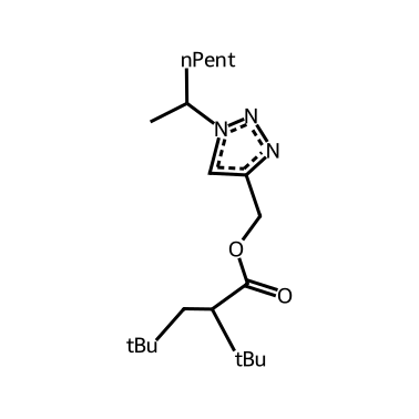 CCCCCC(C)n1cc(COC(=O)C(CC(C)(C)C)C(C)(C)C)nn1